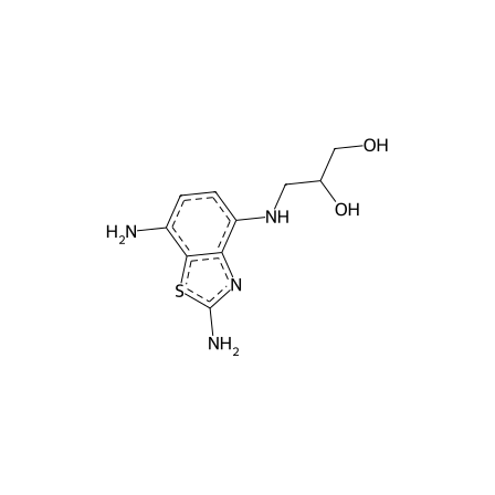 Nc1nc2c(NCC(O)CO)ccc(N)c2s1